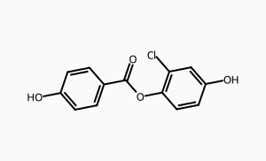 O=C(Oc1ccc(O)cc1Cl)c1ccc(O)cc1